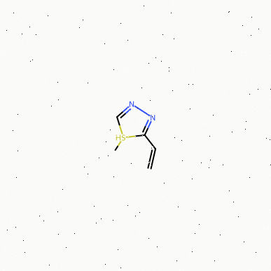 C=CC1=NN=C[SH]1C